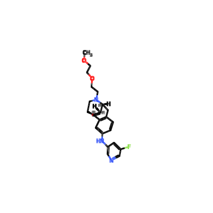 COCCOCCN1CC[C@]23CCCC[C@H]2[C@H]1Cc1ccc(Nc2cncc(F)c2)cc13